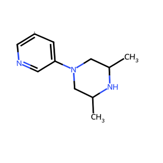 CC1CN(c2c[c]cnc2)CC(C)N1